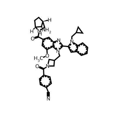 COc1cc(C(=O)N2C[C@H]3CC[C@@H]2[C@@H]3N)cc2nc(-c3cc4ccccc4n3CC3CC3)n(CC3CN(C(=O)c4ccc(C#N)cc4)C3)c12